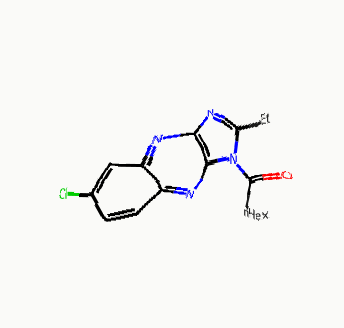 CCCCCCC(=O)n1c(CC)nc2nc3cc(Cl)ccc3nc21